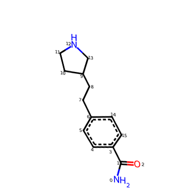 NC(=O)c1ccc(CCC2CCNC2)cc1